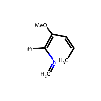 C=N/C(=C(\C=C/C)OC)C(C)C